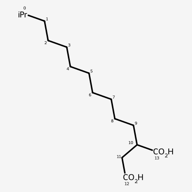 CC(C)CCCCCCCCCC(CC(=O)O)C(=O)O